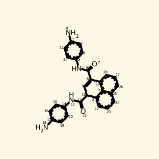 Nc1ccc(NC(=O)C2=CC(C(=O)Nc3ccc(N)cc3)c3cccc4cccc2c34)cc1